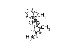 CCC1=CCC=CC=C1OP(Cl)Oc1ccc(CC)cc1C